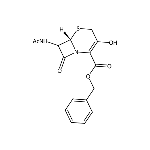 CC(=O)NC1C(=O)N2C(C(=O)OCc3ccccc3)=C(O)CS[C@@H]12